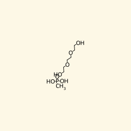 CP(=O)(O)O.OCCOCCOCCO